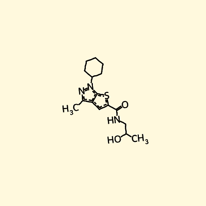 Cc1nn(C2CCCCC2)c2sc(C(=O)NCC(C)O)cc12